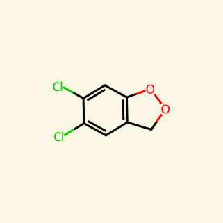 Clc1cc2c(cc1Cl)OOC2